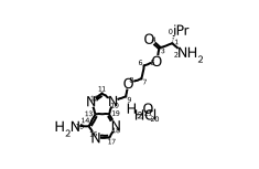 CC(C)[C@H](N)C(=O)OCCOCn1cnc2c(N)ncnc21.Cl.O